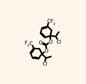 CC(Cl)C1(OC(=O)OC2(C(C)Cl)C=CC=C(C(F)(F)F)C2)C=CC=C(C(F)(F)F)C1